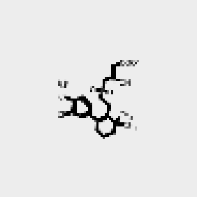 CC1(C)CCCC(c2ccc(Cl)c(Cl)c2)=C1CCP(=O)([O-])C[C@H](O)CC(=O)[O-].[Li+].[Li+]